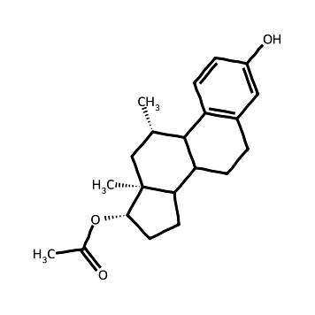 CC(=O)O[C@H]1CCC2C3CCc4cc(O)ccc4C3[C@@H](C)C[C@@]21C